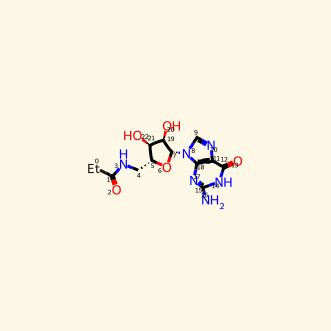 CCC(=O)NC[C@H]1O[C@@H](n2cnc3c(=O)[nH]c(N)nc32)[C@H](O)[C@@H]1O